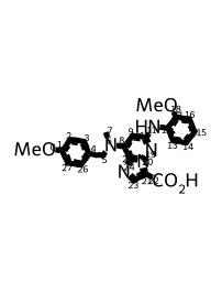 COc1ccc(CN(C)c2cc(Nc3ccccc3OC)nn3c(C(=O)O)cnc23)cc1